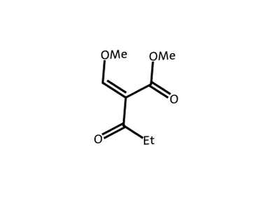 CCC(=O)C(=COC)C(=O)OC